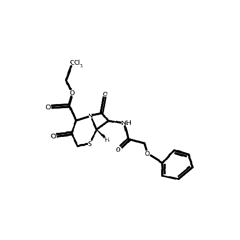 O=C(COc1ccccc1)NC1C(=O)N2C(C(=O)OCC(Cl)(Cl)Cl)C(=O)CS[C@@H]12